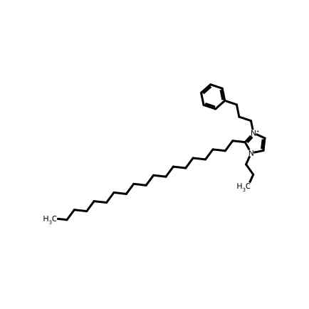 CCCCCCCCCCCCCCCCCCCc1n(CCC)cc[n+]1CCCc1ccccc1